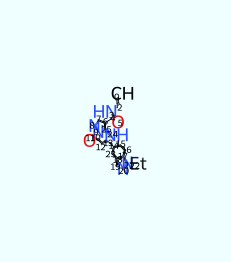 C#CCNC(=O)c1cnn2c(=O)cc(-c3ccc4c(cnn4CC)c3)[nH]c12